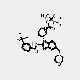 CC(C)(C)OC(=O)N1CCC[C@@H](n2c(NC(=O)c3cccc(C(F)(F)F)c3)nc3cc(CN4CCOCC4)ccc32)C1